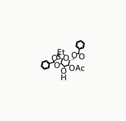 CCS[C@@H]1O[C@H](COC(=O)c2ccccc2)[C@H](OC(C)=O)[C@H](O)[C@H]1OC(=O)c1ccccc1